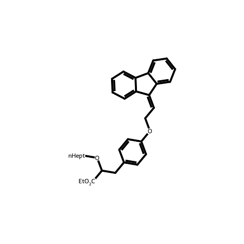 CCCCCCCOC(Cc1ccc(OCC=C2c3ccccc3-c3ccccc32)cc1)C(=O)OCC